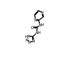 O=C(Nc1cnccn1)Nc1nnn[nH]1